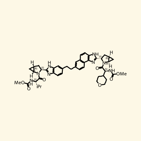 COC(=O)N[C@H](C(=O)N1[C@@H]2C[C@@H]2C[C@H]1c1nc2ccc(CCc3ccc4c(ccc5[nH]c([C@@H]6C[C@H]7C[C@H]7N6C(=O)[C@@H](NC(=O)OC)C6CCOCC6)nc54)c3)cc2[nH]1)C(C)C